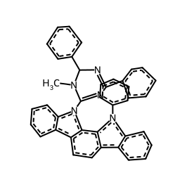 CN1C(n2c3ccccc3c3ccc4c5ccccc5n(-c5ccccc5)c4c32)=NC(c2ccccc2)=NC1c1ccccc1